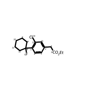 CCOC(=O)Cc1ccc(C2(F)CCCCC2)c(Cl)c1